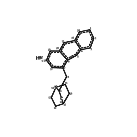 Br.c1ccc2cc3c(CC4CC5CCN4CC5)cccc3cc2c1